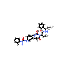 Cc1ccccc1NC(=O)Nc1ccc(CN2C(=O)N(C(CC(C)C)C(=O)N[C@@H](CC(=O)O)c3ccccc3)C(=O)C2(C)C)cc1